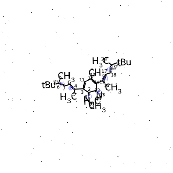 C/N=C1/C(/C(C)=C/C=C(\C)C(C)(C)C)=CC(C)=C(/C(C)=C/C=C(\C)C(C)(C)C)/C1=N/C